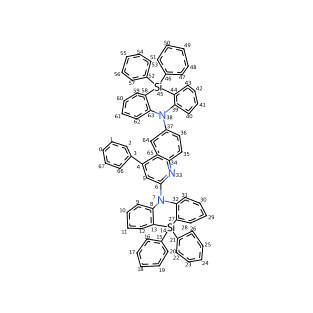 c1ccc(-c2cc(N3c4ccccc4[Si](c4ccccc4)(c4ccccc4)c4ccccc43)nc3ccc(N4c5ccccc5[Si](c5ccccc5)(c5ccccc5)c5ccccc54)cc23)cc1